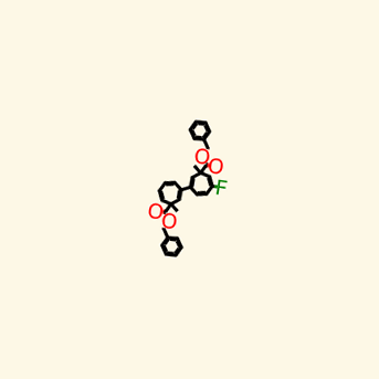 CC1(C(=O)OCc2ccccc2)C=CC=CC(C2=CC(C)(C(=O)OCc3ccccc3)C=C(F)C=C2)=C1